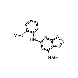 CNc1nc(Nc2cc[c]cc2OC)nc2[nH]ncc12